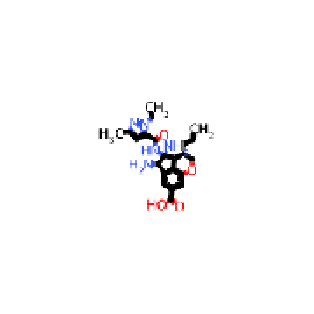 C=CC[C@H]1COc2cc(C(=O)O)cc3c2C1[C@@](N)(NC(=O)c1cc(C)nn1CC)C3N